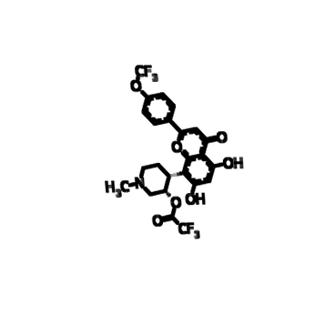 CN1CC[C@H](c2c(O)cc(O)c3c(=O)cc(-c4ccc(OC(F)(F)F)cc4)oc23)[C@H](OC(=O)C(F)(F)F)C1